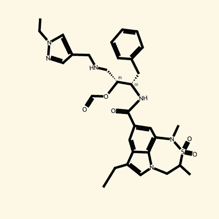 CCc1cn2c3c(cc(C(=O)N[C@@H](Cc4ccccc4)[C@@H](CNCc4cnn(CC)c4)OC=O)cc13)N(C)S(=O)(=O)C(C)C2